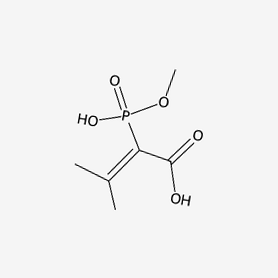 COP(=O)(O)C(C(=O)O)=C(C)C